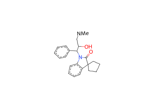 CNCC(O)C(c1ccccc1)N1C(=O)C2(CCCC2)c2ccccc21